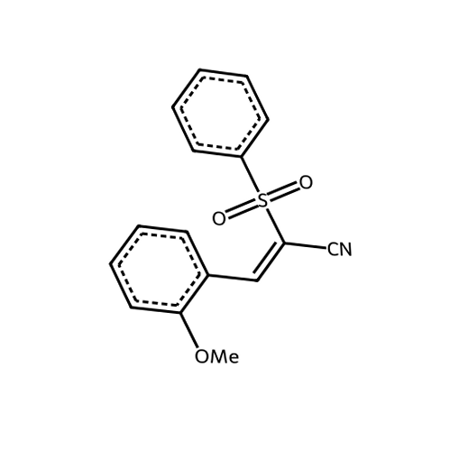 COc1ccccc1C=C(C#N)S(=O)(=O)c1ccccc1